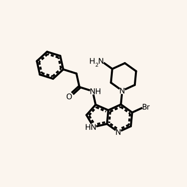 NC1CCCN(c2c(Br)cnc3[nH]cc(NC(=O)Cc4ccccc4)c23)C1